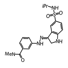 CNC(=O)c1cccc(N/N=C2\CNc3ccc(S(=O)(=O)NC(C)C)cc32)c1